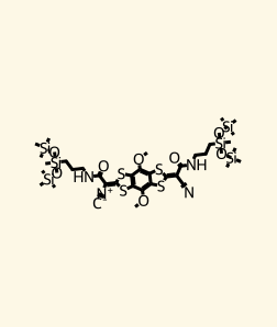 [C-]#[N+]C(C(=O)NCCC[Si](C)(O[Si](C)(C)C)O[Si](C)(C)C)=C1Sc2c(OC)c3c(c(OC)c2S1)SC(=C(C#N)C(=O)NCCC[Si](C)(O[Si](C)(C)C)O[Si](C)(C)C)S3